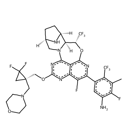 Cc1c(F)c(N)cc(-c2nc3c4c(nc(OC[C@]5(CN6CCOCC6)CC5(F)F)nc4c2F)N2C[C@H]4CC[C@H](N4)[C@H]2[C@H](C(F)(F)F)O3)c1C(F)(F)F